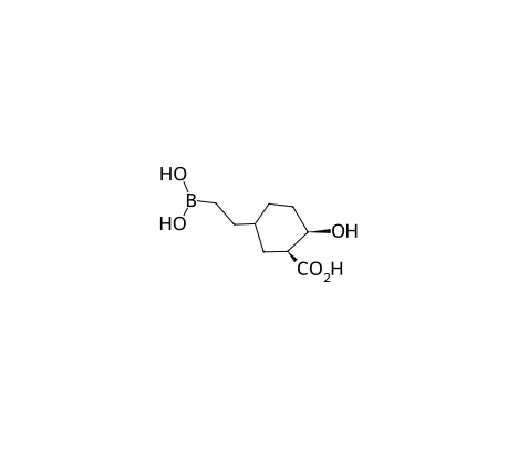 O=C(O)[C@H]1CC(CCB(O)O)CC[C@H]1O